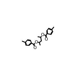 Cc1ccc(C(=O)OC(C)CC(C)OC(=O)c2ccc(C)cc2)cc1